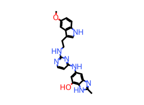 COc1ccc2[nH]cc(CCNc3nccc(Nc4cc(O)c5[nH]c(C)nc5c4)n3)c2c1